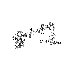 COc1ccc(CCCc2cccc(OCC(=O)NCCCCCCNC(=O)COc3cccc4c3C(=O)N(C3CCC(=O)NC3=O)C4=O)c2)cc1OC